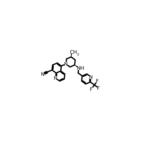 C[C@H]1C[C@@H](NCc2ccc(C(F)(F)F)nc2)CN(c2ccc(C#N)c3ncccc23)C1